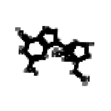 Nc1nc2c(ncn2[C@@H]2O[C@@]3(CO)COC2C3O)c(=O)[nH]1